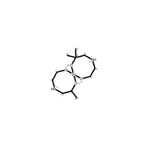 CC1CNCC[O][Sn]2([O]CCNCC(C)(C)[O]2)[O]1